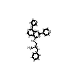 N[C@@H](CNc1nc(-c2ccncc2)nc2c(-c3ccsc3)nccc12)Cc1ccccc1